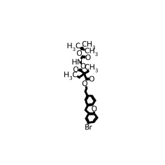 CCC(CC)(C(=O)OCCc1ccc2c(c1)Cc1cc(Br)ccc1O2)C(=O)ONC(=O)OC(C)(C)C